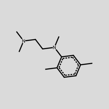 Cc1ccc(C)c(N(C)CCN(C)C)c1